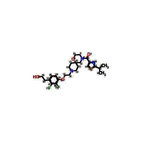 CC(C)c1nc(C(=O)N2CCOC3(CCN(CCOc4ccc(CCO)c(F)c4F)CC3)C2)cs1